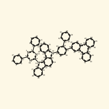 c1ccc(-c2nc(-c3ccccc3)nc(-n3c4ccccc4c4ccc5c(c6ccccc6n5-c5ccc(-c6ccc7c8ccccc8c8ccccc8c7c6)c(-c6ccccc6)c5)c43)n2)cc1